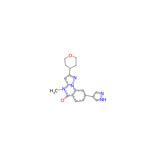 Cn1c(=O)c2ccc(-c3cn[nH]c3)cc2n2nc(C3CCOCC3)cc12